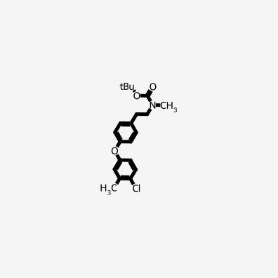 Cc1cc(Oc2ccc(CCN(C)C(=O)OC(C)(C)C)cc2)ccc1Cl